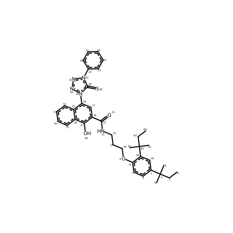 CCC(C)(C)c1ccc(OCCCNC(=O)c2cc(-n3nnn(-c4ccccc4)c3=S)c3ccccc3c2O)c(C(C)(C)CC)c1